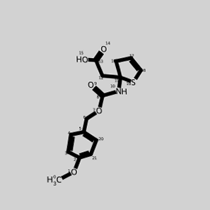 COc1ccc(COC(=O)NC2(CC(=O)O)CC=CS2)cc1